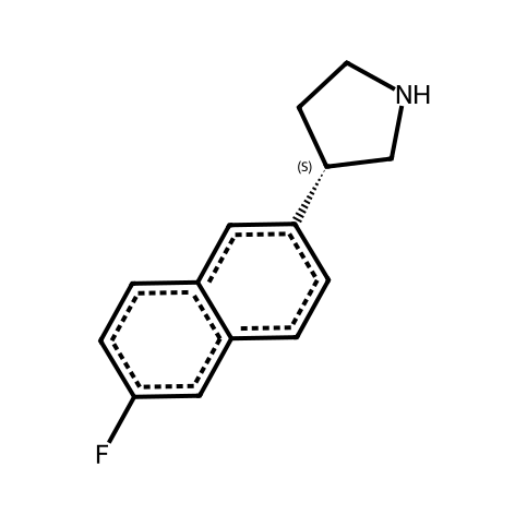 Fc1ccc2cc([C@@H]3CCNC3)ccc2c1